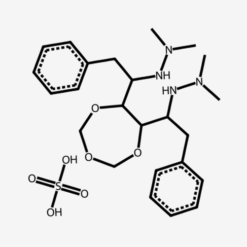 CN(C)NC(Cc1ccccc1)C1OCOCOC1C(Cc1ccccc1)NN(C)C.O=S(=O)(O)O